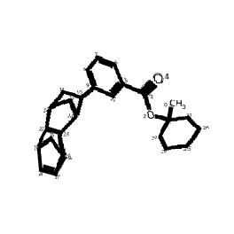 CC1(OC(=O)c2cccc(C3CC4CC3C3C5C=CC(C5)C43)c2)CCCCC1